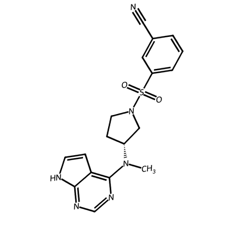 CN(c1ncnc2[nH]ccc12)[C@@H]1CCN(S(=O)(=O)c2cccc(C#N)c2)C1